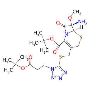 CO[C@@]1(N)C(=O)N2C(C(=O)OC(C)(C)C)=C(CSc3nnnn3CCC(=O)OC(C)(C)C)CS[C@@H]21